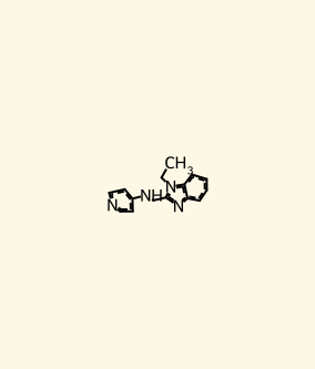 CCn1c(CNc2ccncc2)nc2ccccc21